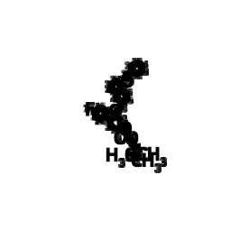 C[Si](C)(C)CCOC(=O)ON1CCC(c2ccc(F)cc2)C(OCc2ccc3c(OCc4ccccc4)cccc3c2)C1